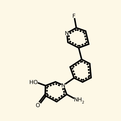 Nc1cc(=O)c(O)cn1-c1cccc(-c2ccc(F)nc2)c1